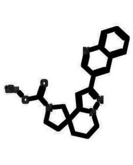 CC(C)(C)OC(=O)N1CCC2(CCCn3nc(-c4cnc5ccccc5c4)cc32)C1